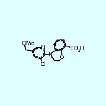 COCc1cnc(N2CCOc3c(C(=O)O)cccc32)c(Cl)c1